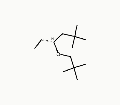 CC[C@H](CC(C)(C)C)OCC(C)(C)C